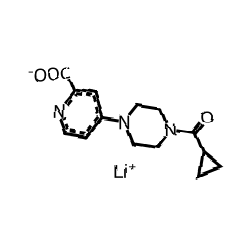 O=C([O-])c1cc(N2CCN(C(=O)C3CC3)CC2)ccn1.[Li+]